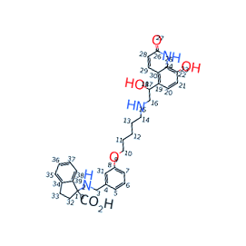 O=C(O)C1(NCc2cccc(OCCCCCNCC(O)c3ccc(O)c4[nH]c(=O)ccc34)c2)CCc2ccccc21